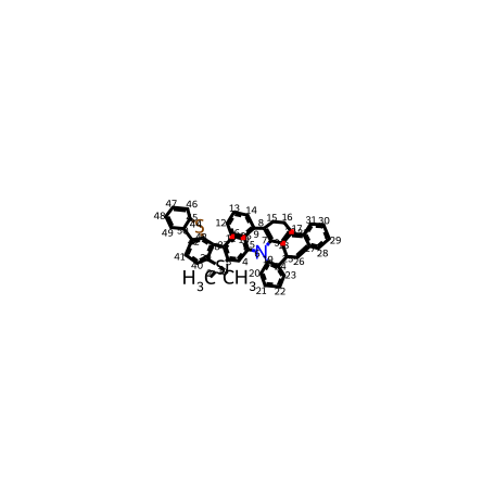 C[Si]1(C)c2cc(N(C3=C(c4ccccc4)CCC=C3)c3ccccc3C3C=c4ccccc4=CC3)ccc2-c2c1ccc1c2SC2C=CC=CC12